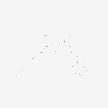 Cc1ncnc2c1ccn2[C@@H]1O[C@H](C(=O)c2ccc(Cl)cc2CCCO[Si](C)(C)C(C)(C)C)[C@H]2OC(C)(C)O[C@H]21